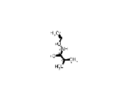 C=CONC(=O)C(C)C